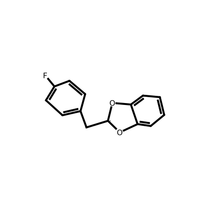 Fc1ccc(C[C]2Oc3ccccc3O2)cc1